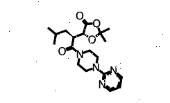 CC(C)C[C@H](C(=O)N1CCN(c2ncccn2)CC1)[C@@H]1OC(C)(C)OC1=O